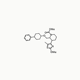 COC(=O)N1CCCC(c2nc(OC)sc2C)C1COC1CCC(c2ccccc2)CC1